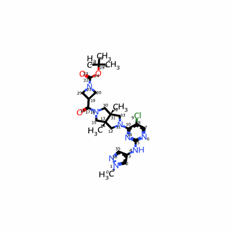 Cn1cc(Nc2ncc(Cl)c(N3C[C@]4(C)CN(C(=O)C5CN(C(=O)OC(C)(C)C)C5)C[C@]4(C)C3)n2)cn1